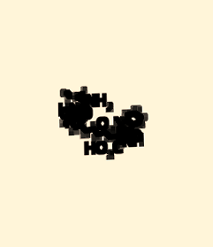 C=C[C@@H]1C[C@]1(N)C(=O)NS(=O)(=O)N(C)CCCCCCCC[C@H](NS(=O)(=O)c1ccccc1[N+](=O)[O-])C(=O)O